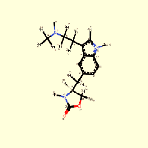 [2H]c1c(C([2H])([2H])C([2H])([2H])N(C)C([2H])([2H])[2H])c2cc(C([2H])([2H])[C@]3([2H])N([2H])C(=O)OC3([2H])[2H])ccc2n1[2H]